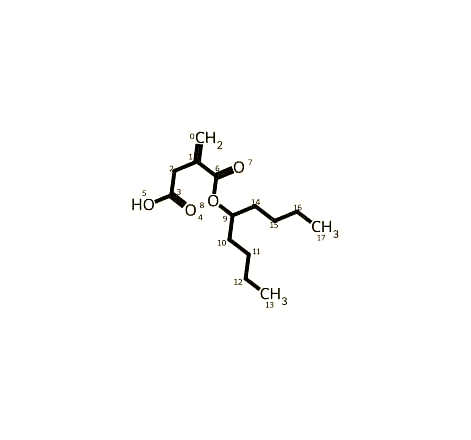 C=C(CC(=O)O)C(=O)OC(CCCC)CCCC